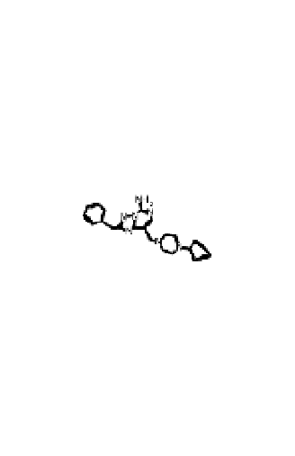 Nc1ncc(CN2CCN(c3ccccc3)CC2)c2nc(Cc3ccccc3)nn12